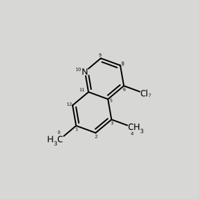 Cc1cc(C)c2c(Cl)[c]cnc2c1